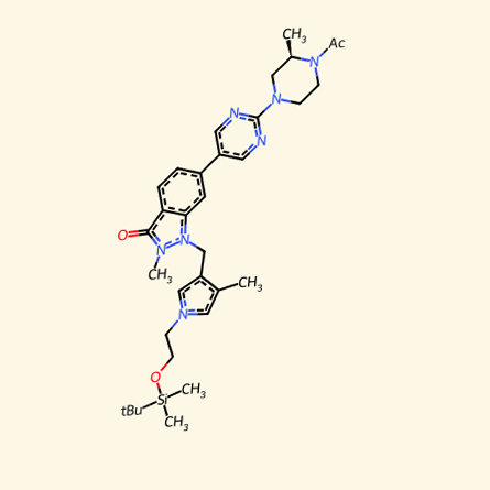 CC(=O)N1CCN(c2ncc(-c3ccc4c(=O)n(C)n(Cc5cn(CCO[Si](C)(C)C(C)(C)C)cc5C)c4c3)cn2)C[C@H]1C